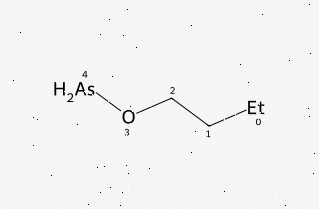 CCCCO[AsH2]